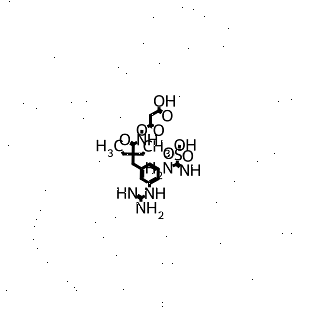 CCC(CC)(Cc1cccc(NC(=N)N)c1)C(=O)NOC(=O)CC(=O)O.N=C(N)S(=O)(=O)O